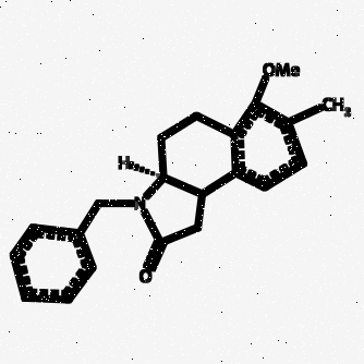 COc1c(C)ccc2c1CC[C@H]1C2CC(=O)N1Cc1ccccc1